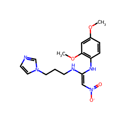 COc1ccc(N/C(=C\[N+](=O)[O-])NCCCn2ccnc2)c(OC)c1